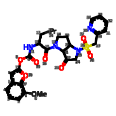 COc1cccc2cc(OC(=O)NC(CC(C)C)C(=O)N3CCC4C3C(=O)CN4S(=O)(=O)Cc3ccccn3)oc12